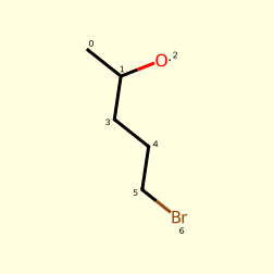 CC([O])CCCBr